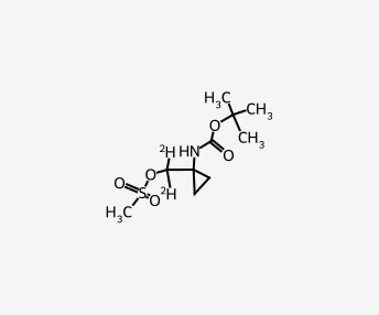 [2H]C([2H])(OS(C)(=O)=O)C1(NC(=O)OC(C)(C)C)CC1